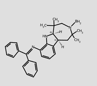 BN1CC(C)(C)[C@@H]2Nc3c(N=C(c4ccccc4)c4ccccc4)cccc3[C@@H]2CC1(C)C